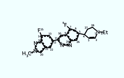 CCN1C=CC(c2cc(F)c3cc(-c4cc(F)c5nn(C)cc5c4)nnc3c2)CC1